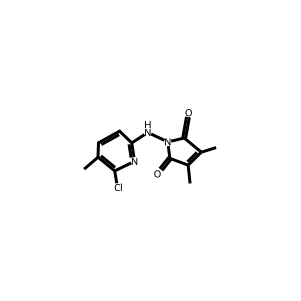 CC1=C(C)C(=O)N(Nc2ccc(C)c(Cl)n2)C1=O